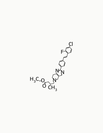 CCOC(=O)CC(C)CN1CCc2nc(-c3ccc(C=Cc4ccc(Cl)cc4F)cc3)ncc2C1